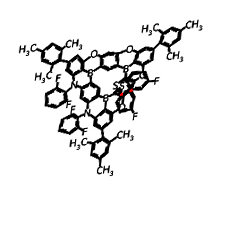 Cc1cc(C)c(-c2cc3c4c(c2)Oc2c(sc5ccc(F)cc25)B4c2cc4c(cc2O3)Oc2cc(-c3c(C)cc(C)cc3C)cc3c2B4c2cc4c(cc2N3c2c(F)cccc2F)N(c2c(F)cccc2F)c2cc(-c3c(C)cc(C)cc3C)cc3c2B4c2sc4ccc(F)cc4c2O3)c(C)c1